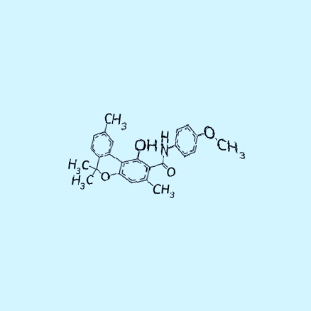 COc1ccc(NC(=O)c2c(C)cc3c(c2O)-c2cc(C)ccc2C(C)(C)O3)cc1